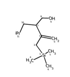 C=C(C[Si](C)(C)C)C(CO)CC(C)C